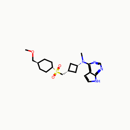 COC[C@H]1CC[C@H](S(=O)(=O)C[C@H]2C[C@@H](N(C)c3ncnc4[nH]ccc34)C2)CC1